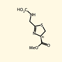 COC(=O)[C@@H]1CSC(CNC(=O)O)=N1